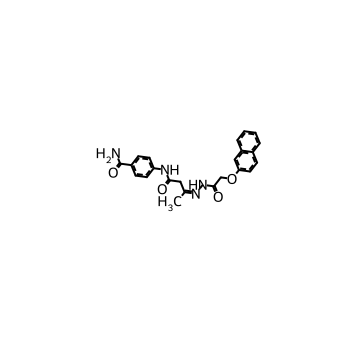 CC(CC(=O)Nc1ccc(C(N)=O)cc1)=NNC(=O)COc1ccc2ccccc2c1